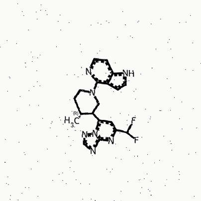 C[C@@H]1CCN(c2nccc3[nH]ccc23)CC1c1cc(C(F)F)nc2ncnn12